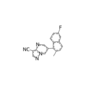 Cc1ccc2cc(F)ccc2c1-c1cnc2c(C#N)cnn2c1